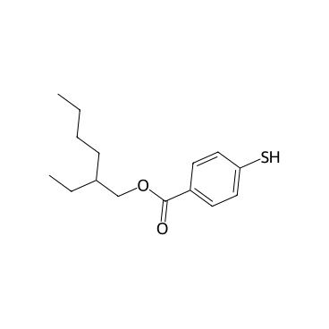 CCCCC(CC)COC(=O)c1ccc(S)cc1